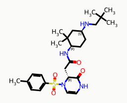 Cc1ccc(S(=O)(=O)N2C=CNC(=O)[C@H]2CC(=O)N[C@@H]2CC[C@H](NCC(C)(C)C)CC2(C)C)cc1